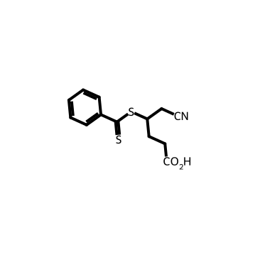 N#CCC(CCC(=O)O)SC(=S)c1ccccc1